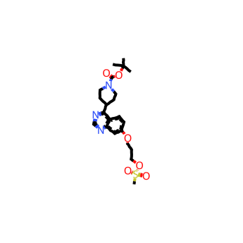 CC(C)(C)OC(=O)N1CCC(c2ncnc3cc(OCCCOS(C)(=O)=O)ccc23)CC1